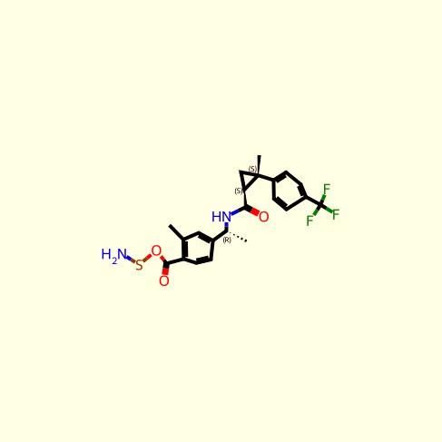 Cc1cc([C@@H](C)NC(=O)[C@H]2C[C@]2(C)c2ccc(C(F)(F)F)cc2)ccc1C(=O)OSN